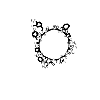 CC[C@H](C)[C@@H]1NC(=O)[C@H](CC(C)C)N(C)C(=O)C[C@@H](C(=O)N(C)C)N(C)C(=O)[C@H](C2CCCC2)N(C)C(=O)C2(CCCC2)NC(=O)[C@H](Cc2ccc(Cl)cc2)N(C)C(=O)[C@H](CCc2ccc(C(F)(F)F)c(Cl)c2)NC(=O)CN(C)C(=O)[C@H](CC2CCCCC2)N(C)C(=O)[C@@H]2CCN2C(=O)[C@H](C)N(C)C1=O